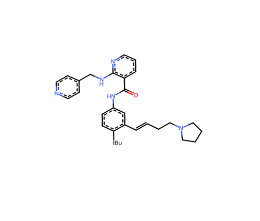 CC(C)(C)c1ccc(NC(=O)c2cccnc2NCc2ccncc2)cc1/C=C/CCN1CCCC1